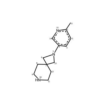 Cc1ccc(N2CC3(CCNCC3)C2)cn1